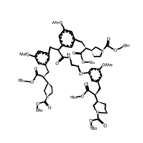 COc1cc(CC(C(=O)NCCOc2cc(C[C@H](C(=O)OC(C)(C)C)[C@H]3CCN(C(=O)OC(C)(C)C)C3)cc(OC)c2)c2cc(C[C@H](C(=O)OC(C)(C)C)[C@H]3CCN(C(=O)OC(C)(C)C)C3)cc(OC)c2)cc(C[C@H](C(=O)OC(C)(C)C)[C@H]2CCN(C(=O)OC(C)(C)C)C2)c1